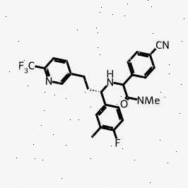 CNC(=O)C(N[C@@H](CCc1ccc(C(F)(F)F)nc1)c1ccc(F)c(C)c1)c1ccc(C#N)cc1